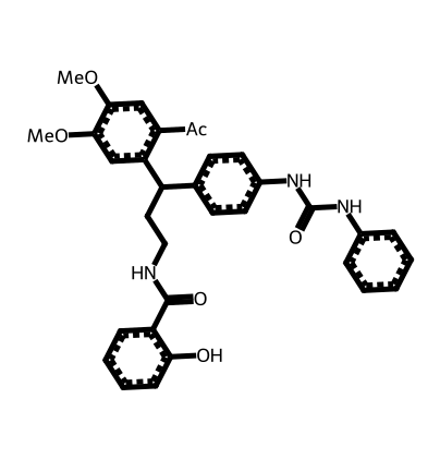 COc1cc(C(C)=O)c(C(CCNC(=O)c2ccccc2O)c2ccc(NC(=O)Nc3ccccc3)cc2)cc1OC